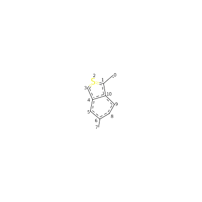 [CH2]c1scc2cc(C)ccc12